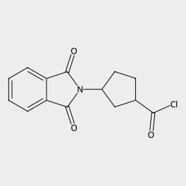 O=C(Cl)C1CCC(N2C(=O)c3ccccc3C2=O)C1